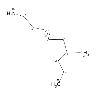 CCCC(C)C/C=C/CCN